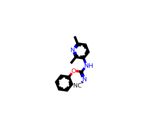 Cc1ccc(N/C(=N/C#N)Oc2ccccc2)c(C)n1